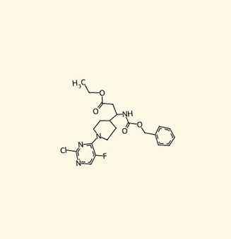 CCOC(=O)CC(NC(=O)OCc1ccccc1)C1CCN(c2nc(Cl)ncc2F)CC1